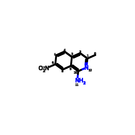 Cc1cc2ccc([N+](=O)[O-])cc2c(N)n1